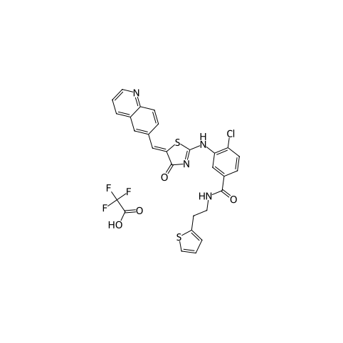 O=C(O)C(F)(F)F.O=C1N=C(Nc2cc(C(=O)NCCc3cccs3)ccc2Cl)S/C1=C\c1ccc2ncccc2c1